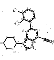 C#Cc1nc(-c2cccc(C#N)c2C)nc2c1ncn2C1CCCCO1